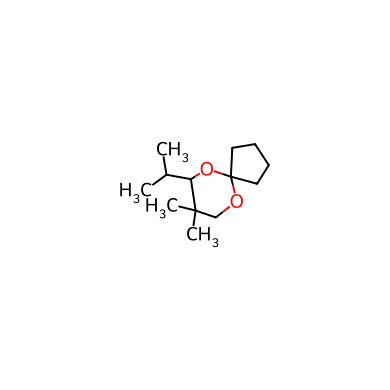 CC(C)C1OC2(CCCC2)OCC1(C)C